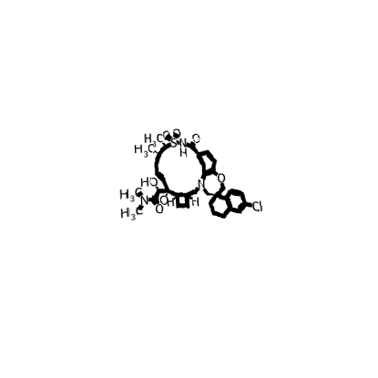 C[C@@H]1[C@@H](C)C/C=C/[C@](O)([C@H](O)C(=O)N(C)C)[C@@H]2CC[C@H]2CN2C[C@@]3(CCCc4cc(Cl)ccc43)COc3ccc(cc32)C(=O)NS1(=O)=O